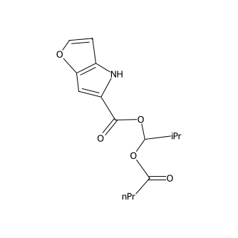 CCCC(=O)OC(OC(=O)c1cc2occc2[nH]1)C(C)C